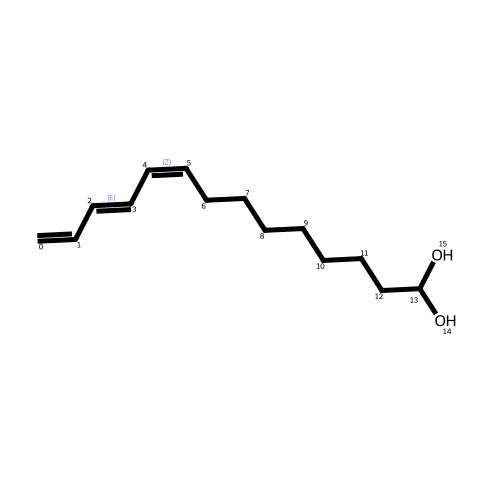 C=C/C=C/C=C\CCCCCCCC(O)O